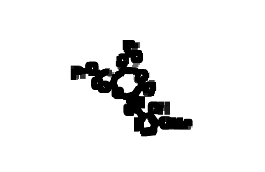 COc1ccnc(C(=O)N[C@H]2COC(=O)[C@H](CC(=O)OC(C)C)[C@@H](OC(=O)C(C)C)[C@H](C)OC2=O)c1O